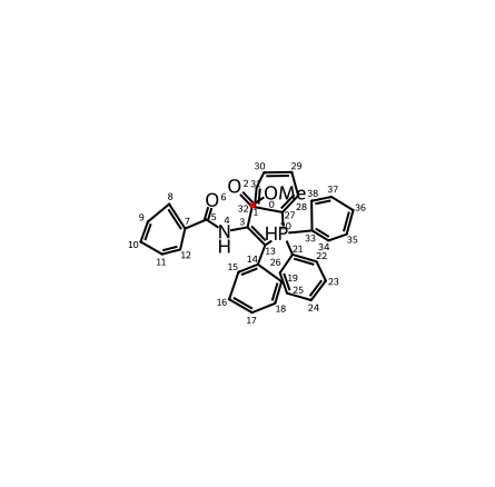 COC(=O)/C(NC(=O)c1ccccc1)=C(/c1ccccc1)[PH](c1ccccc1)(c1ccccc1)c1ccccc1